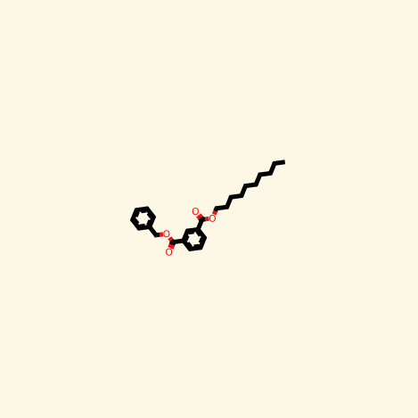 CCCCCCCCCCOC(=O)c1cccc(C(=O)OCc2ccccc2)c1